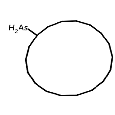 [AsH2]C1CCCCCCCCCCCCCCCCC1